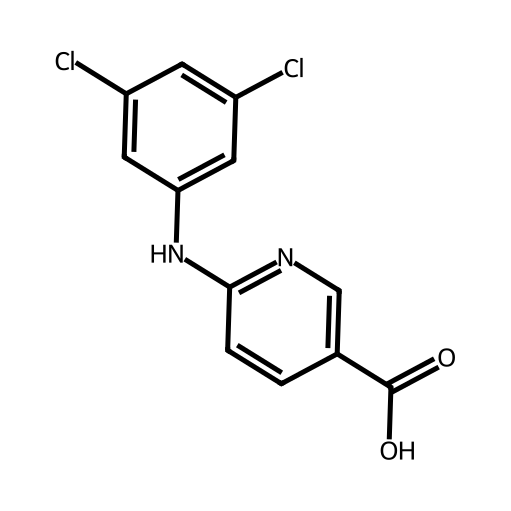 O=C(O)c1ccc(Nc2cc(Cl)cc(Cl)c2)nc1